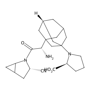 N#C[C@@H]1CC2CC2N1C(=O)[C@@H](N)C12CC3C[C@@H](C1)CC(N1CCC[C@H]1C(=O)O)(C3)C2